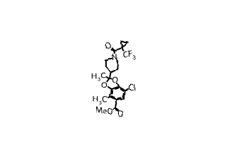 COC(=O)c1cc(Cl)c2c(c1C)OC(C)(C1CCN(C(=O)C3(C(F)(F)F)CC3)CC1)O2